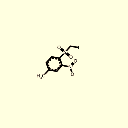 Cc1ccc(S(=O)(=O)CI)c([N+](=O)[O-])c1